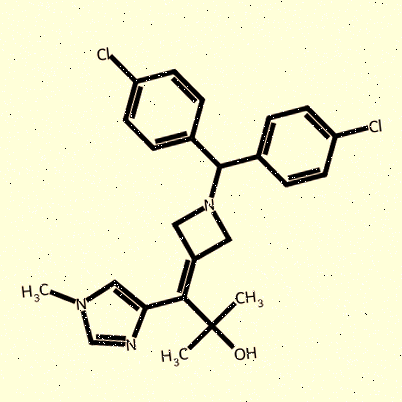 Cn1cnc(C(=C2CN(C(c3ccc(Cl)cc3)c3ccc(Cl)cc3)C2)C(C)(C)O)c1